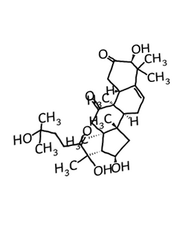 CC(C)(O)CCC(=O)C(C)(O)[C@H]1[C@H](O)C[C@@]2(C)[C@@H]3CC=C4[C@@H](CC(=O)[C@@H](O)C4(C)C)[C@]3(C)C(=O)C[C@]12C